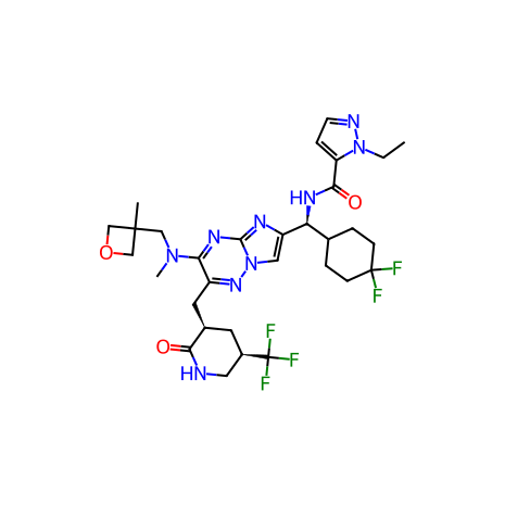 CCn1nccc1C(=O)N[C@H](c1cn2nc(C[C@H]3C[C@@H](C(F)(F)F)CNC3=O)c(N(C)CC3(C)COC3)nc2n1)C1CCC(F)(F)CC1